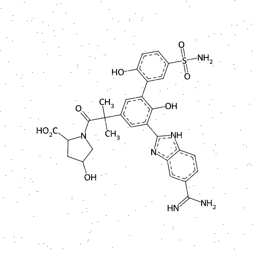 CC(C)(C(=O)N1CC(O)CC1C(=O)O)c1cc(-c2nc3cc(C(=N)N)ccc3[nH]2)c(O)c(-c2cc(S(N)(=O)=O)ccc2O)c1